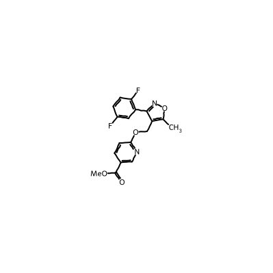 COC(=O)c1ccc(OCc2c(-c3cc(F)ccc3F)noc2C)nc1